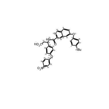 CC(C)(C)c1ccc(Oc2ccc3cnc(C(=O)NC(CC(=O)O)c4ccc(Oc5ccc([N+](=O)[O-])cc5)cc4)cc3c2)cc1